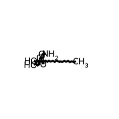 CCCCCCCCC=CCCCCCCCC(=O)N(C(=O)CC(N)=O)c1ccc(O)c(O)c1